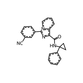 N#Cc1cccc(-c2nc(C(=O)NC3(c4ccccc4)CC3)c3ccccn23)c1